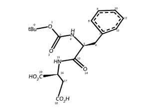 CC(C)(C)OC(=O)N[C@@H](Cc1ccccc1)C(=O)N[C@@H](CC(=O)O)C(=O)O